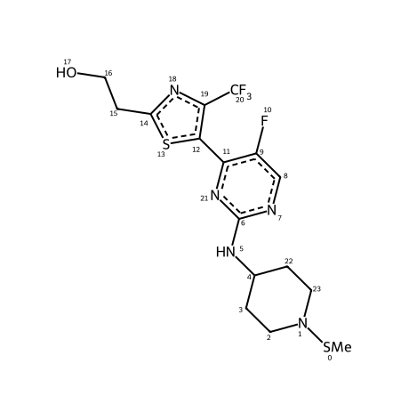 CSN1CCC(Nc2ncc(F)c(-c3sc(CCO)nc3C(F)(F)F)n2)CC1